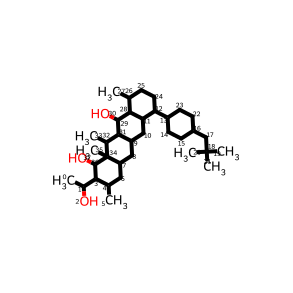 CC(O)C1C(C)CC2CC3CC4C(C5CCC(CC(C)(C)C)CC5)CCC(C)C4C(O)C3C(C)C2(C)C1O